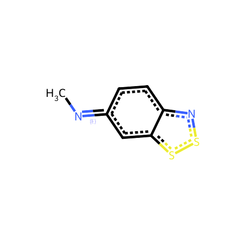 C/N=c1\ccc2nssc-2c1